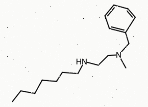 CCCCCCCNCCN(C)Cc1ccccc1